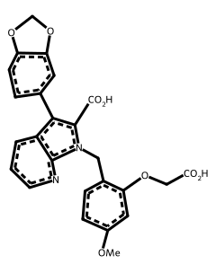 COc1ccc(Cn2c(C(=O)O)c(-c3ccc4c(c3)OCO4)c3cccnc32)c(OCC(=O)O)c1